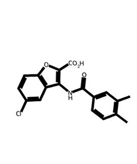 Cc1ccc(C(=O)Nc2c(C(=O)O)oc3ccc(Cl)cc23)cc1C